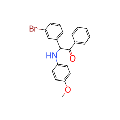 COc1ccc(NC(C(=O)c2ccccc2)c2cccc(Br)c2)cc1